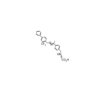 C/C(=N\OCc1ccc(-c2ccccc2)cc1C(F)(F)F)c1ccc(CN/C=C/C(=O)O)cc1